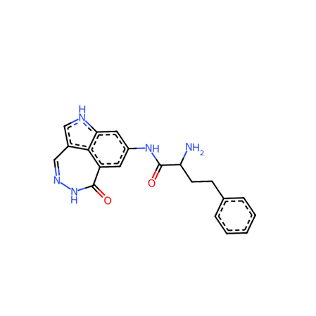 NC(CCc1ccccc1)C(=O)Nc1cc2c3c(c[nH]c3c1)C=NNC2=O